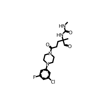 CNC(=O)NC(C)(C=O)CCC(=O)N1CCN(c2cc(F)cc(Cl)c2)CC1